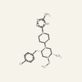 CSN1C[C@H](Cc2ccc(Cl)cc2)N(C2CCN(c3nnc(N)[nH]3)CC2)C[C@@H]1C